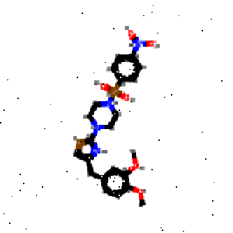 COc1ccc(Cc2csc(N3CCN(S(=O)(=O)c4ccc([N+](=O)[O-])cc4)CC3)n2)cc1OC